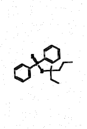 CCCC(C)(CC)SP(=S)(c1ccccc1)c1ccccc1